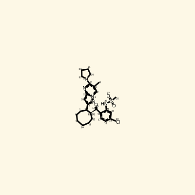 Cc1cn2nc(C3CCCCCC[C@@H]3C(=O)c3ccc(Cl)cc3NS(C)(=O)=O)cc2nc1N1CCCC1